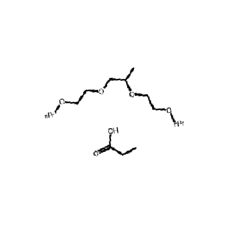 CCC(=O)O.CCCOCCOCC(C)OCCOCCC